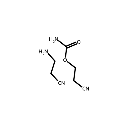 N#CCCN.N#CCCOC(N)=O